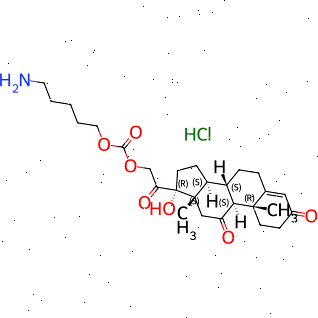 C[C@]12CCC(=O)C=C1CC[C@@H]1[C@@H]2C(=O)C[C@@]2(C)[C@H]1CC[C@]2(O)C(=O)COC(=O)OCCCCCN.Cl